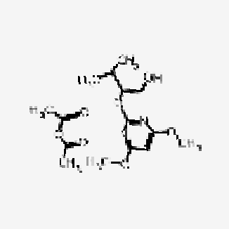 CC(=O)OC(C)=O.COc1cc(OC)nc(OC(CO)C(C)C)n1